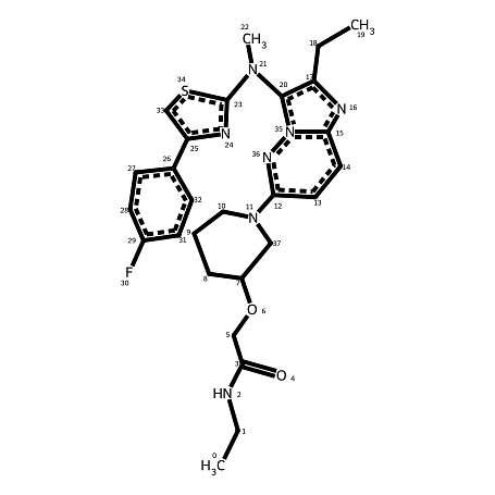 CCNC(=O)COC1CCCN(c2ccc3nc(CC)c(N(C)c4nc(-c5ccc(F)cc5)cs4)n3n2)C1